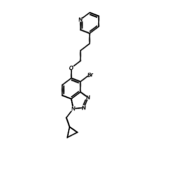 Brc1c(OCCCc2cccnc2)ccc2c1nnn2CC1CC1